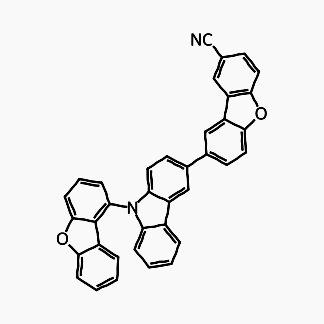 N#Cc1ccc2oc3ccc(-c4ccc5c(c4)c4ccccc4n5-c4cccc5oc6ccccc6c45)cc3c2c1